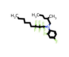 CCCCCCC(F)(F)C(F)(F)C(F)(F)N(CC(C)CCC)c1ccc(F)cc1F